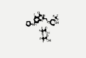 O=C(O)C(F)(F)F.O=C(O)C(F)(F)F.O=c1[nH]c(CS[C@@H]2CCN[C@@H](C(F)(F)F)C2)nc2cc(NC3CCCC3)cc(F)c12